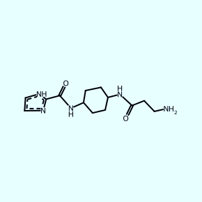 NCCC(=O)NC1CCC(NC(=O)c2ncc[nH]2)CC1